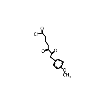 COc1ccc(CC(=O)C(=O)CCCC(=O)Cl)cc1